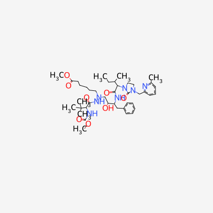 CCC(C)C(C(=O)NC(Cc1ccccc1)C(O)CN(CCCCCC(=O)OC)NC(=O)C(NC(=O)OC)C(C)(C)C)N1CCN(Cc2cccc(C)n2)C1=O